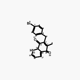 CC1=C(Cc2ccc(Br)cc2)C(=O)C2NC=CC=C2C1=O